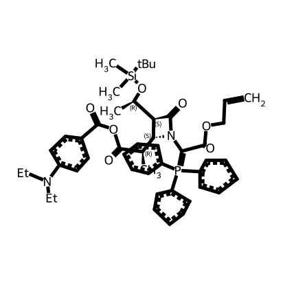 C=CCOC(=O)C(N1C(=O)[C@H]([C@@H](C)O[Si](C)(C)C(C)(C)C)[C@H]1[C@@H](C)C(=O)OC(=O)c1ccc(N(CC)CC)cc1)=P(c1ccccc1)(c1ccccc1)c1ccccc1